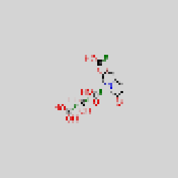 O=C1CC=C2C=CC=CN2C1.OB(O)F.OB(O)F.OB(O)F.OB(O)F